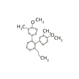 CCCc1[c]ccc(-c2ccc(OC)c(C)c2)c1-c1ccc(OC)c(C)c1